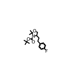 CC(C)(C)OC(=O)N1C(CCc2ccc(F)cc2)COC1(C)C